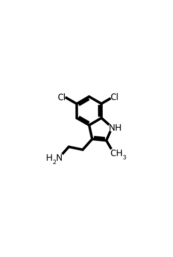 Cc1[nH]c2c(Cl)cc(Cl)cc2c1CCN